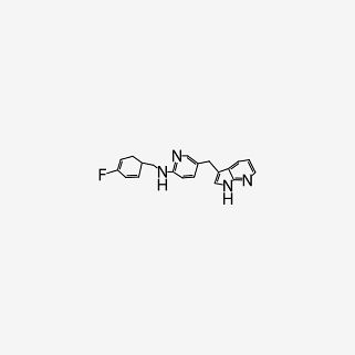 FC1=CCC(CNc2ccc(Cc3c[nH]c4ncccc34)cn2)C=C1